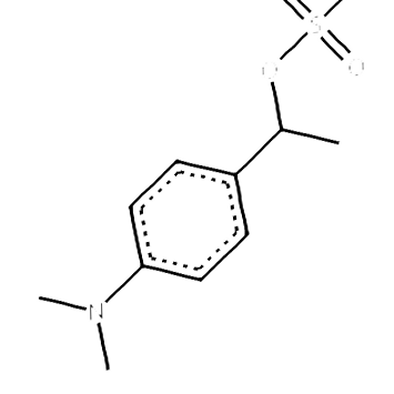 [CH2]C(OS(C)(=O)=O)c1ccc(N(C)C)cc1